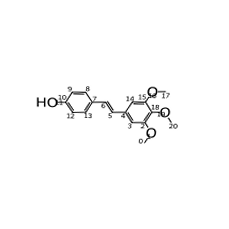 COc1cc(C=Cc2ccc(O)cc2)cc(OC)c1OC